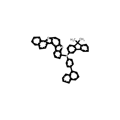 CC1(C)c2ccccc2-c2cc(N(c3ccc(-c4cccc5ccccc45)cc3)c3cccc4c3sc3ccc5oc6c7ccccc7ccc6c5c34)ccc21